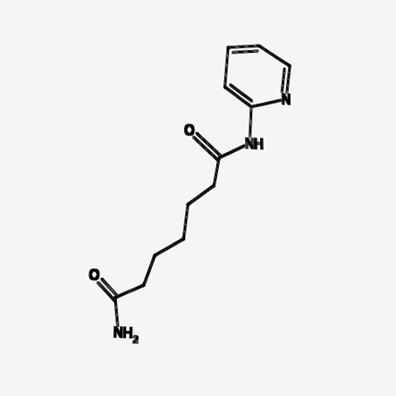 NC(=O)CCCCCC(=O)Nc1ccccn1